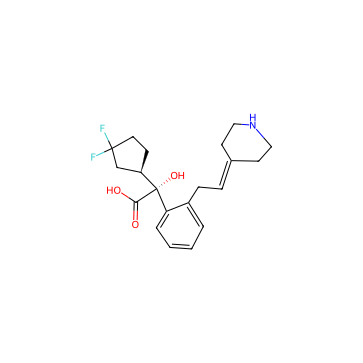 O=C(O)[C@](O)(c1ccccc1CC=C1CCNCC1)[C@@H]1CCC(F)(F)C1